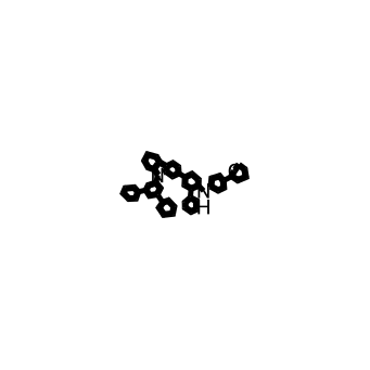 c1ccc(-c2ccc(Nc3ccc(-c4ccc5c6ccccc6n(-c6cc(-c7ccccc7)cc(-c7ccccc7)c6)c5c4)cc3-c3ccccc3)cc2)cc1